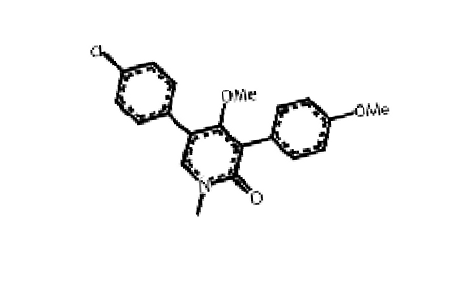 COc1ccc(-c2c(OC)c(-c3ccc(Cl)cc3)cn(C)c2=O)cc1